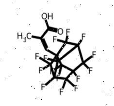 CC(=CC12C(F)(F)C3(F)C(F)(F)C(F)(C(F)(F)C(F)(C3(F)F)C1(F)F)C2(F)F)C(=O)O